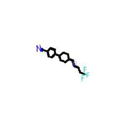 N#Cc1ccc(C2CCC(/C=C/CCC(F)(F)F)CC2)cc1